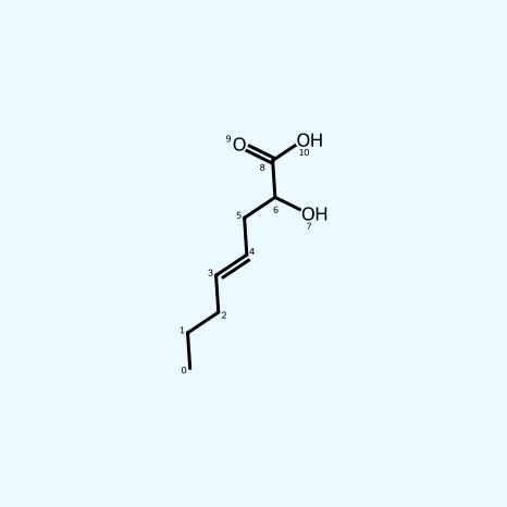 CCCC=CCC(O)C(=O)O